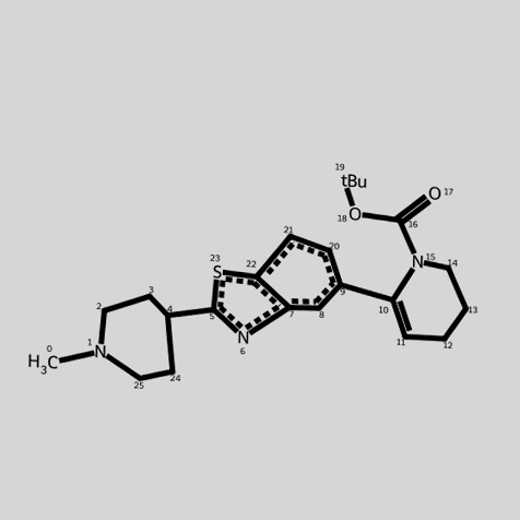 CN1CCC(c2nc3cc(C4=CCCCN4C(=O)OC(C)(C)C)ccc3s2)CC1